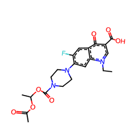 CCn1cc(C(=O)O)c(=O)c2cc(F)c(N3CCN(C(=O)OC(C)OC(C)=O)CC3)cc21